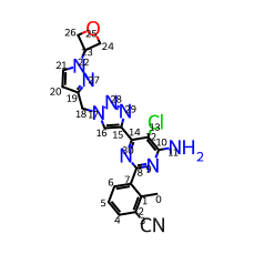 Cc1c(C#N)cccc1-c1nc(N)c(Cl)c(-c2cn(Cc3ccn(C4COC4)n3)nn2)n1